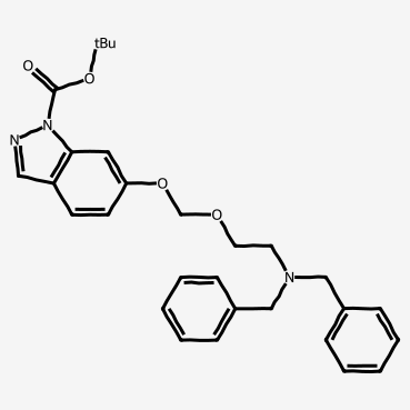 CC(C)(C)OC(=O)n1ncc2ccc(OCOCCN(Cc3ccccc3)Cc3ccccc3)cc21